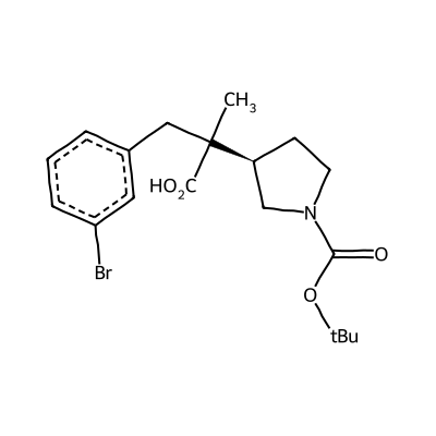 CC(C)(C)OC(=O)N1CC[C@H](C(C)(Cc2cccc(Br)c2)C(=O)O)C1